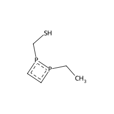 CCp1ccp1CS